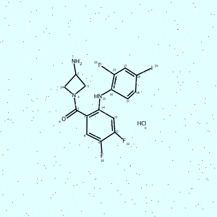 Cl.NC1CN(C(=O)c2cc(F)c(F)cc2Nc2ccc(I)cc2F)C1